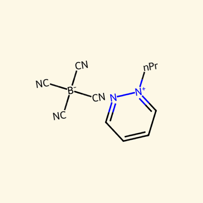 CCC[n+]1ccccn1.N#C[B-](C#N)(C#N)C#N